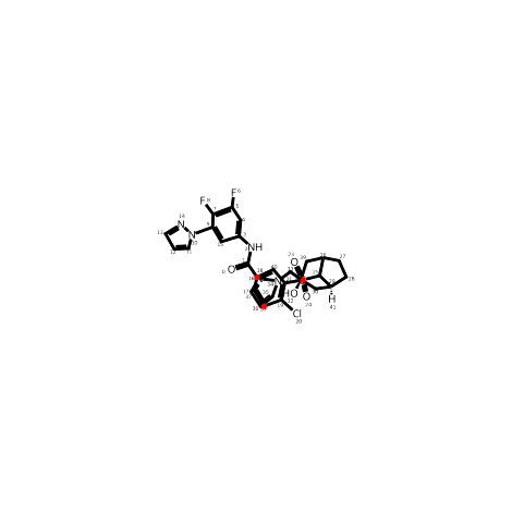 O=C(Nc1cc(F)c(F)c(-n2cccn2)c1)c1ccc(Cl)c(S(=O)(=O)C2C3CC[C@H]2C[C@](O)(Cn2cccn2)C3)c1